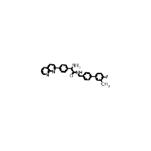 Cc1cc(-c2ccc(CNC(=O)C(N)c3ccc(-c4ccc5cccnc5n4)cc3)cc2)ccc1F